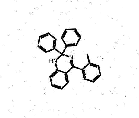 Cc1ccccc1C1=NC(c2ccccc2)(c2ccccc2)Nc2ccccc21